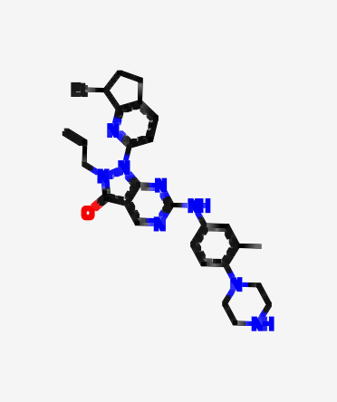 C=CCn1c(=O)c2cnc(Nc3ccc(N4CCNCC4)c(C)c3)nc2n1-c1ccc2c(n1)C(CC)CC2